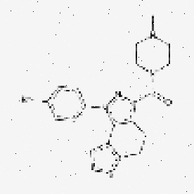 CN1CCN(C(=O)c2nn(-c3ccc(Br)cc3)c3c2CCc2sccc2-3)CC1